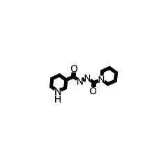 O=C(N=NC(=O)N1CCCCC1)C1CCCNC1